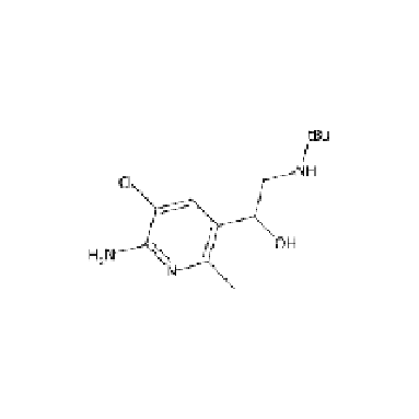 Cc1nc(N)c(Cl)cc1C(O)CNC(C)(C)C